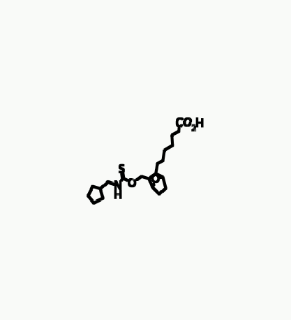 O=C(O)CCCCCCC1C2CCC(O2)C1COC(=S)NCC1CCCC1